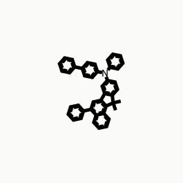 CC1(C)c2ccc(N(c3ccccc3)c3ccc(-c4ccccc4)cc3)cc2-c2cc(-c3ccccc3)c3ccccc3c21